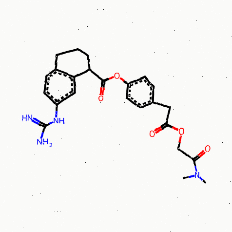 CN(C)C(=O)COC(=O)Cc1ccc(OC(=O)C2CCCc3ccc(NC(=N)N)cc32)cc1